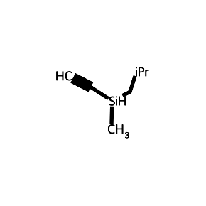 C#C[SiH](C)CC(C)C